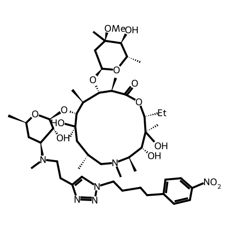 CC[C@H]1OC(=O)[C@H](C)[C@@H](O[C@H]2C[C@@](C)(OC)[C@@H](O)[C@H](C)O2)[C@H](C)[C@@H](O[C@@H]2O[C@H](C)C[C@H](N(C)CCc3cn(CCCCc4ccc([N+](=O)[O-])cc4)nn3)[C@H]2O)[C@](C)(O)C[C@@H](C)CN(C)[C@H](C)[C@@H](O)[C@]1(C)O